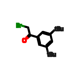 CC(C)(C)c1cc(C(=O)CBr)cc(C(C)(C)C)c1